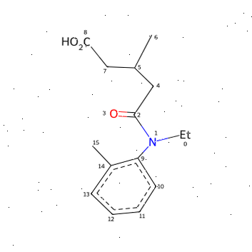 CCN(C(=O)CC(C)CC(=O)O)c1ccccc1C